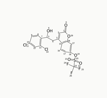 O=c1cc(CC(O)c2ccc(Cl)cc2Cl)c2ccc(OS(=O)(=O)C(F)(F)F)cc2o1